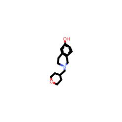 Oc1ccc2c(c1)CCN(CC1CCOCC1)C2